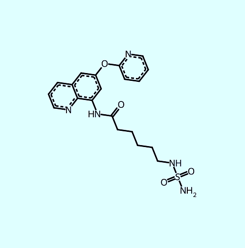 NS(=O)(=O)NCCCCCC(=O)Nc1cc(Oc2ccccn2)cc2cccnc12